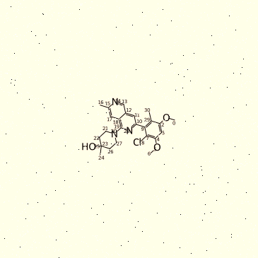 COc1cc(OC)c(Cl)c(-c2cc3cnc(C)cc3c(N3CCC(C)(O)CC3)n2)c1C